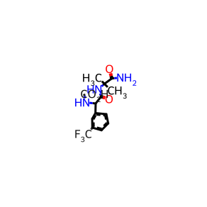 CC(C)(NC(=O)C(NC(=O)O)c1cccc(C(F)(F)F)c1)C(N)=O